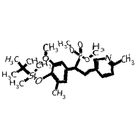 COc1cc(C(Cc2ccc(C)nc2)P(=O)(OC)OC)cc(C)c1O[Si](C)(C)C(C)(C)C